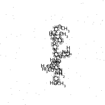 COc1ccc(CN2CCN(C3CC4(CCN(c5ccc(C(=O)NS(=O)(=O)c6cc(N)c(NC[C@H]7CC[C@](C)(O)CC7)c7c6OC(C)(C)O7)c(Oc6cnc7[nH]ccc7c6)c5)CC4)C3)[C@H](c3ccccc3C(C)C)C2)cc1